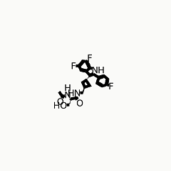 CC(=O)N[C@@H](CO)C(=O)NC[C@H]1C[C@H](c2c(-c3ccc(F)cc3)[nH]c3c(F)cc(F)cc32)C1